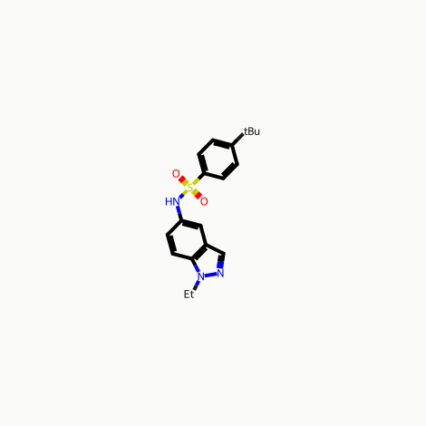 CCn1ncc2cc(NS(=O)(=O)c3ccc(C(C)(C)C)cc3)ccc21